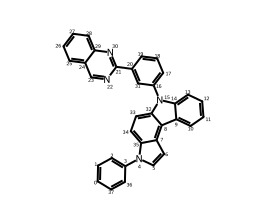 c1ccc(-n2ccc3c4c5ccccc5n(-c5cccc(-c6ncc7ccccc7n6)c5)c4ccc32)cc1